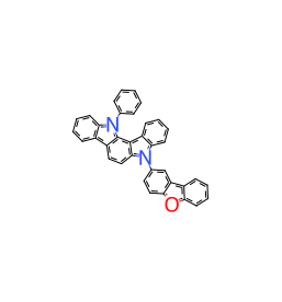 c1ccc(-n2c3ccccc3c3ccc4c(c5ccccc5n4-c4ccc5oc6ccccc6c5c4)c32)cc1